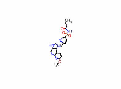 CCCC(=O)NS(=O)(=O)c1ccc(C[n+]2c[nH]c3cnc4nc(OC)ccc4c32)nc1